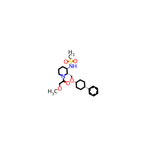 COCC(=O)N1CCC[C@H](NS(C)(=O)=O)[C@@H]1CO[C@H]1CC[C@@H](c2ccccc2)CC1